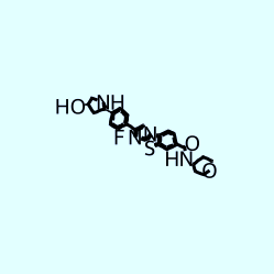 O=C(NC1CCOCC1)c1ccc2c(c1)sc1nc(-c3ccc([C@H]4C[C@@H](O)CN4)cc3F)cn12